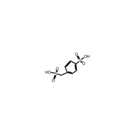 O=S(=O)(O)Cc1ccc(S(=O)(=O)O)cc1